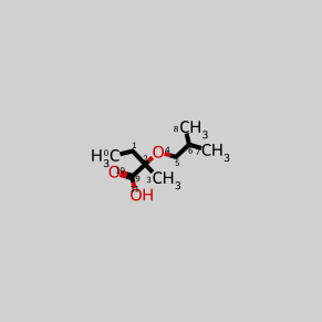 CCC(C)(OCC(C)C)C(=O)O